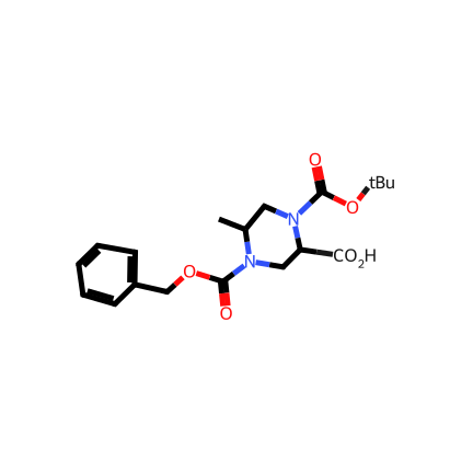 CC1CN(C(=O)OC(C)(C)C)C(C(=O)O)CN1C(=O)OCc1ccccc1